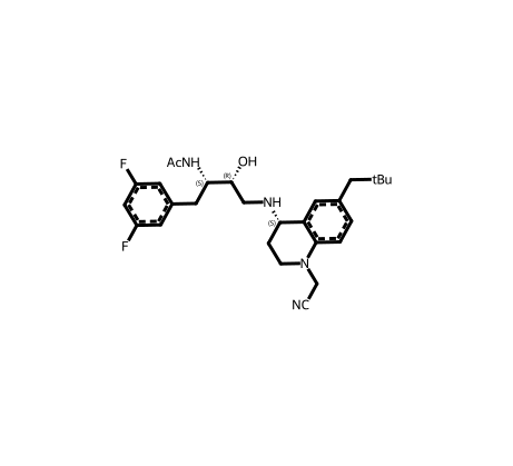 CC(=O)N[C@@H](Cc1cc(F)cc(F)c1)[C@H](O)CN[C@H]1CCN(CC#N)c2ccc(CC(C)(C)C)cc21